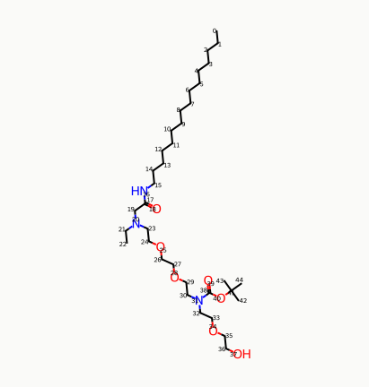 CCCCCCCCCCCCCCCCNC(=O)CN(CC)CCOCCOCCN(CCOCCO)C(=O)OC(C)(C)C